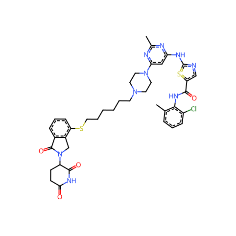 Cc1nc(Nc2ncc(C(=O)Nc3c(C)cccc3Cl)s2)cc(N2CCN(CCCCCCSc3cccc4c3CN(C3CCC(=O)NC3=O)C4=O)CC2)n1